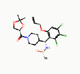 C=CCOc1cc(Cl)c(Cl)c(Cl)c1[C@H](N[S@@+]([O-])C(C)(C)C)C1CCN(C(=O)[C@H]2COC(C)(C)O2)CC1